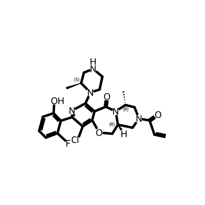 C=CC(=O)N1C[C@@H]2COc3c(Cl)c(-c4c(O)cccc4F)nc(N4CCNC[C@@H]4C)c3C(=O)N2[C@H](C)C1